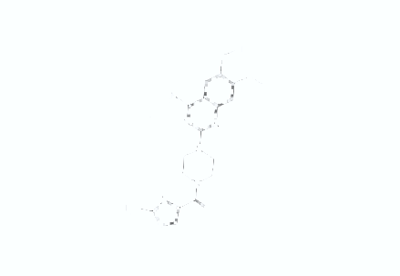 COc1cc2nc(N3CCN(C(=O)c4csc(C)n4)CC3)nc(N)c2cc1OC.Cl